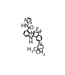 CC1(C)CN(c2ccc(C(F)(F)F)c(-c3nc4c(C(=O)Nc5nccs5)cccc4[nH]3)c2)CCO1